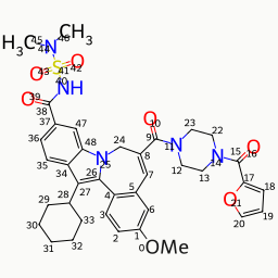 COc1ccc2c(c1)C=C(C(=O)N1CCN(C(=O)c3ccco3)CC1)Cn1c-2c(C2CCCCC2)c2ccc(C(=O)NS(=O)(=O)N(C)C)cc21